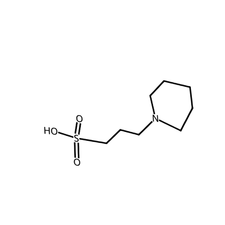 O=S(=O)(O)CCCN1CCCCC1